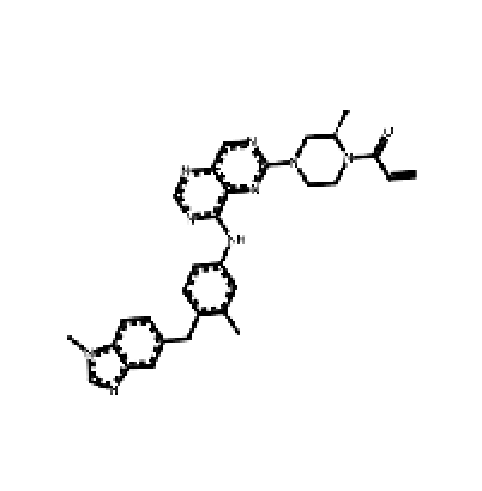 C=CC(=O)N1CCN(c2ncc3ncnc(Nc4ccc(Cc5ccc6c(c5)ncn6C)c(C)c4)c3n2)C[C@H]1C